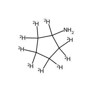 [2H]C1([2H])C([2H])([2H])C([2H])([2H])C([2H])(N)C1([2H])[2H]